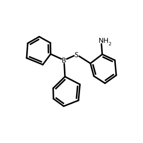 Nc1ccccc1SB(c1ccccc1)c1ccccc1